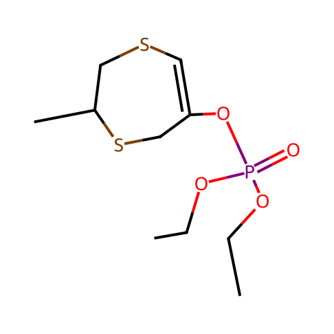 CCOP(=O)(OCC)OC1=CSCC(C)SC1